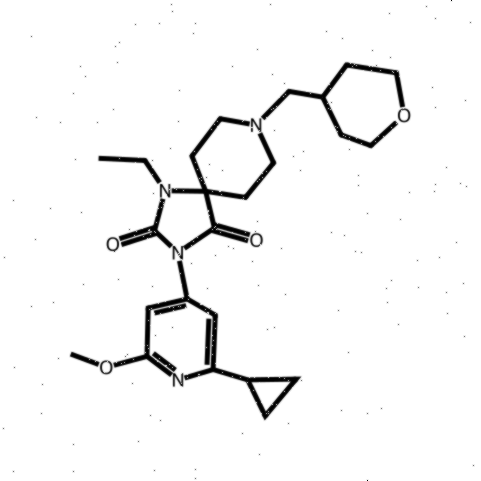 CCN1C(=O)N(c2cc(OC)nc(C3CC3)c2)C(=O)C12CCN(CC1CCOCC1)CC2